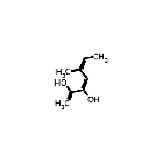 C=C(O)/C(O)=C\C(C)=C/C